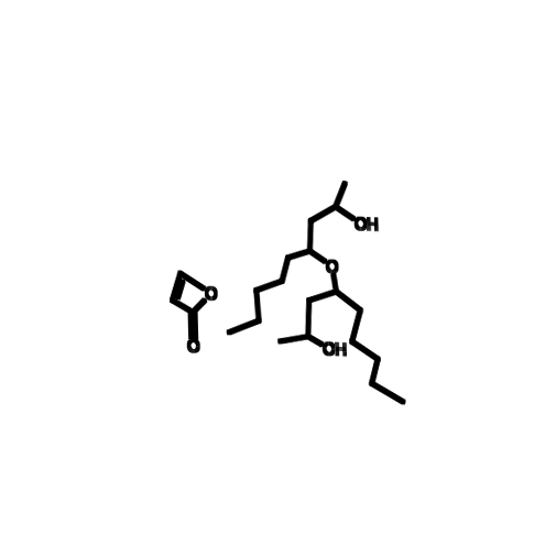 CCCCCC(CC(C)O)OC(CCCCC)CC(C)O.O=C1C=CO1